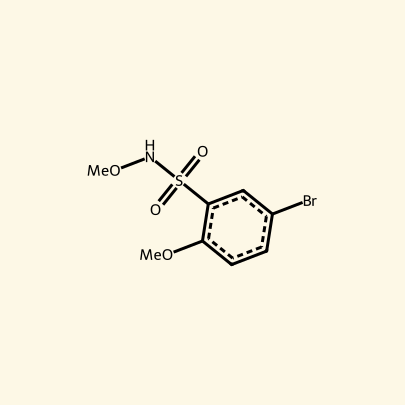 CONS(=O)(=O)c1cc(Br)ccc1OC